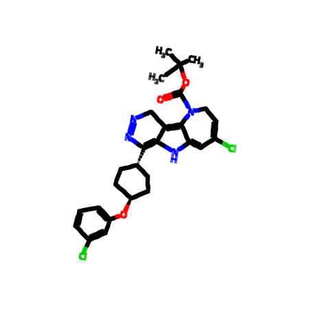 CC(C)(C)OC(=O)N1CC=C(Cl)C=c2[nH]c3c(c21)CN=NC=3[C@H]1CC[C@H](Oc2cccc(Cl)c2)CC1